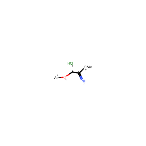 COC(=N)COC(C)=O.Cl